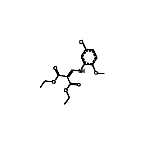 CCOC(=O)C(=CNc1cc(Cl)ccc1OC)C(=O)OCC